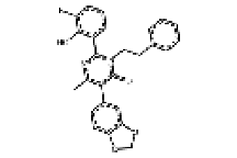 Cc1nc(-c2cccc(F)c2O)n(CCc2ccccc2)c(=O)c1-c1ccc2c(c1)OCO2